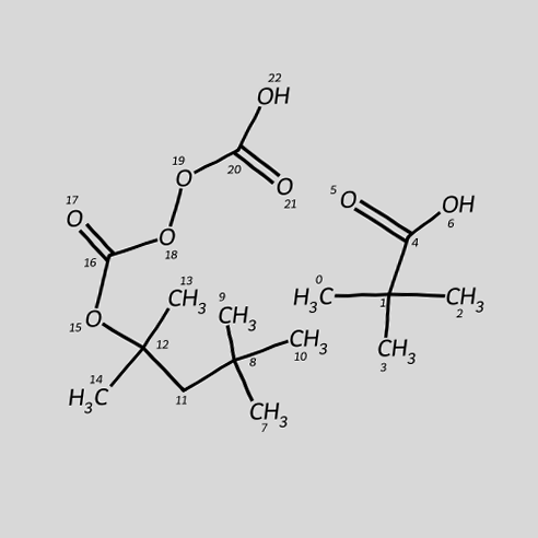 CC(C)(C)C(=O)O.CC(C)(C)CC(C)(C)OC(=O)OOC(=O)O